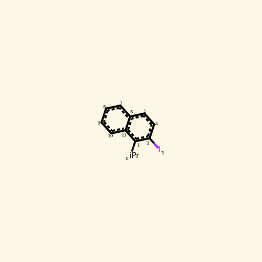 CC(C)c1c(I)ccc2ccccc12